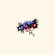 CC(C)(C(=O)N[C@H]1C[C@H]2CC[C@@H](C1)N2c1ccc(C(=O)NC2CC2)cn1)c1cccc(Cl)c1